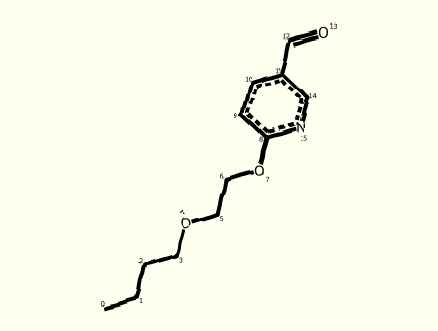 CCCCOCCOc1ccc(C=O)cn1